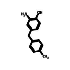 Cc1ccc(Cc2ccc(O)c(N)c2)cc1